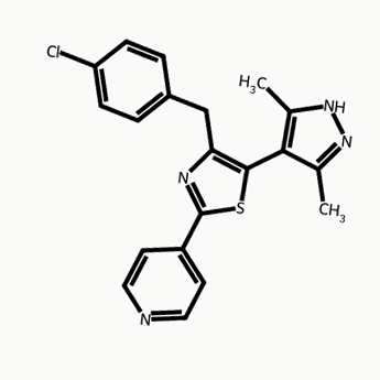 Cc1n[nH]c(C)c1-c1sc(-c2ccncc2)nc1Cc1ccc(Cl)cc1